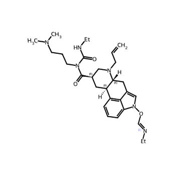 C=CCN1C[C@H](C(=O)N(CCCN(C)C)C(=O)NCC)C[C@@H]2c3cccc4c3c(cn4O/C=N/CC)C[C@H]21